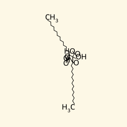 CCCCCCCCCCCCCCCC(=O)N(P(=O)=O)C(CO)(C(=O)O)C(=O)CCCCCCCCCCCCCCC